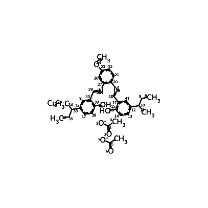 CC(=O)[O-].CC(=O)[O-].CCC(C)c1ccc(O)c(C=Nc2ccc(OC)cc2N=Cc2cc(C(C)CC)ccc2O)c1.[Co+2]